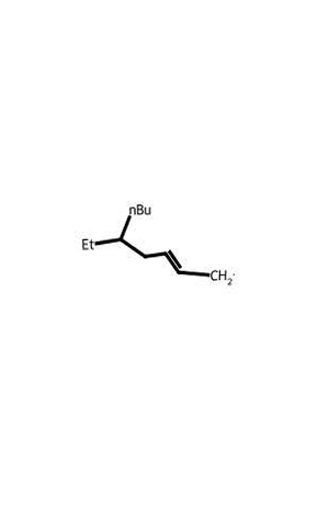 [CH2]/C=C/CC(CC)CCC[CH2]